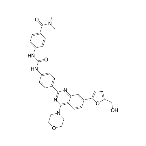 CN(C)C(=O)c1ccc(NC(=O)Nc2ccc(-c3nc(N4CCOCC4)c4ccc(-c5ccc(CO)o5)cc4n3)cc2)cc1